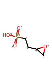 O=S(=O)(O)CCC1CO1